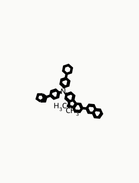 CC1(C)c2ccc(-c3ccc4ccccc4c3)cc2-c2ccc(N(c3ccc(C4CCCCC4)cc3)c3ccc(C4CC5CCC4C5)cc3)cc21